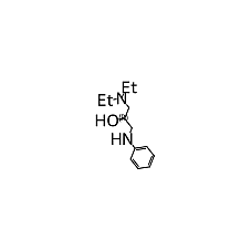 CCN(CC)C[C@H](O)CNc1ccccc1